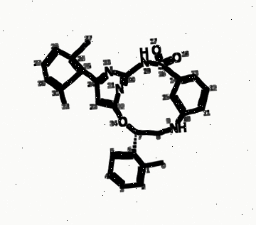 Cc1ccccc1[C@H]1CNc2cccc(c2)S(=O)(=O)Nc2nc(cc(-c3c(C)cccc3C)n2)O1